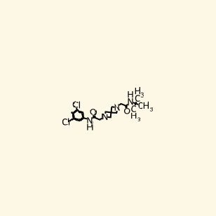 CC(C)(C)NC(=O)CN1CC2(CN(CC(=O)Nc3cc(Cl)cc(Cl)c3)C2)C1